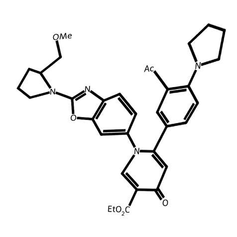 CCOC(=O)c1cn(-c2ccc3nc(N4CCCC4COC)oc3c2)c(-c2ccc(N3CCCC3)c(C(C)=O)c2)cc1=O